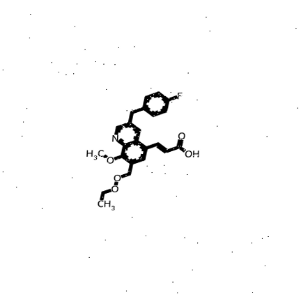 CCOOCc1cc(/C=C/C(=O)O)c2cc(Cc3ccc(F)cc3)cnc2c1OC